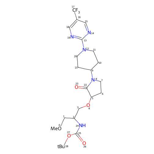 COCC(COC1CCN(C2CCN(c3ncc(C(F)(F)F)cn3)CC2)C1=O)NC(=O)OC(C)(C)C